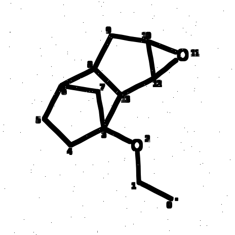 [CH2]COC12CCC(C1)C1CC3OC3C12